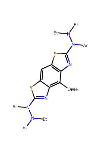 CCN(CC)N(C(C)=O)c1nc2c(OC)c3nc(N(C(C)=O)N(CC)CC)sc3cc2s1